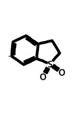 O=S1(=O)CCc2cc[c]cc21